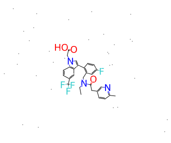 CCN(Cc1cc(F)ccc1-c1cn(CC(=O)O)c2ccc(C(F)(F)F)cc12)C(=O)Cc1ccc(C)nc1